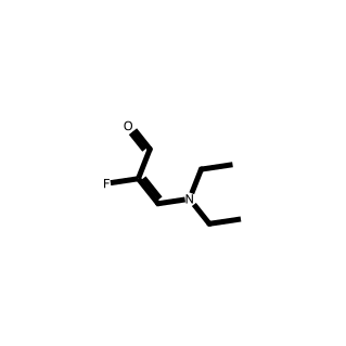 CCN(/C=C(/F)C=O)CC